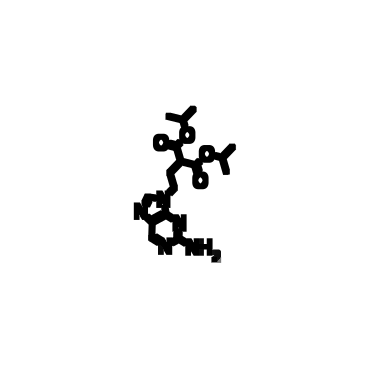 CC(C)OC(=O)C(CCn1cnc2cnc(N)nc21)C(=O)OC(C)C